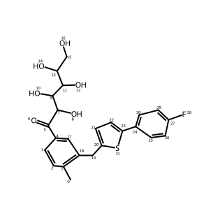 Cc1ccc(C(=O)C(O)C(O)C(O)C(O)CO)cc1Cc1ccc(-c2ccc(F)cc2)s1